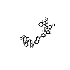 COC(=O)N[C@H](C(=O)N1C[C@@H](OC)C[C@H]1c1ncc(-c2ccc(-c3ccc4cc(-c5cnc([C@@H]6CCCN6C(=O)[C@@H](NC(=O)OC)C(C)C)[nH]5)ccc4c3)cc2)[nH]1)c1ccccc1